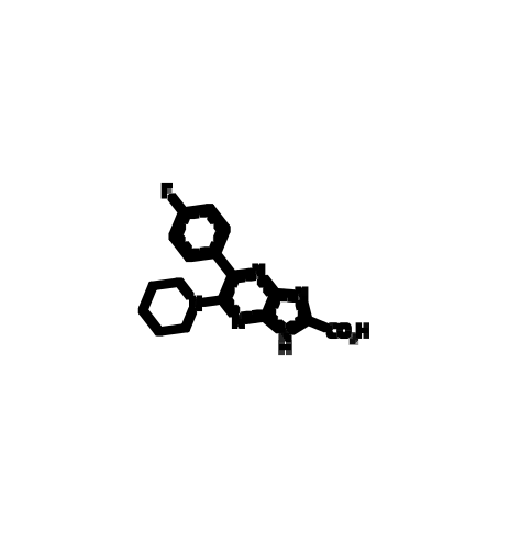 O=C(O)c1nc2nc(-c3ccc(F)cc3)c(N3CCCCC3)nc2[nH]1